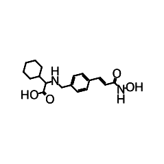 O=C(/C=C/c1ccc(CNC(C(=O)O)C2CCCCC2)cc1)NO